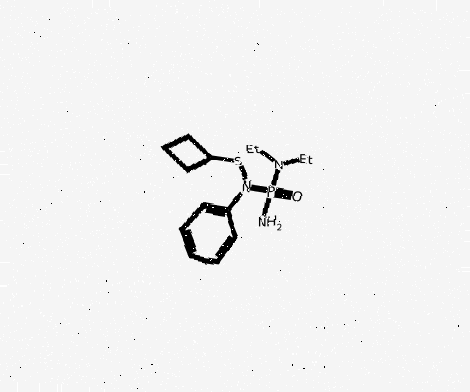 CCN(CC)P(N)(=O)N(SC1CCC1)c1ccccc1